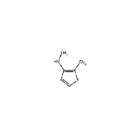 CNc1ccsc1C